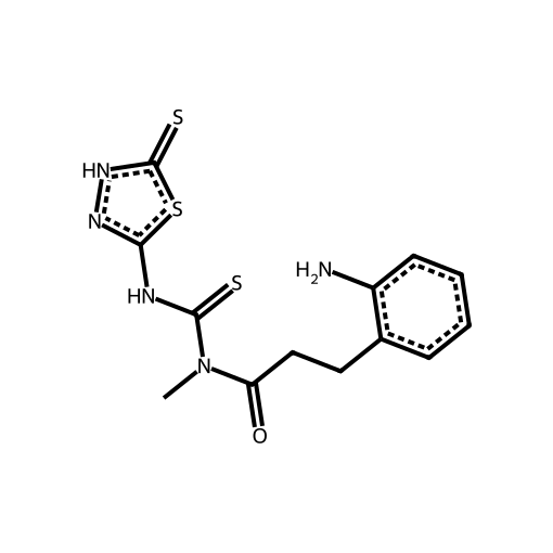 CN(C(=O)CCc1ccccc1N)C(=S)Nc1n[nH]c(=S)s1